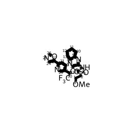 COCCS(=O)(=O)Nc1nc2ccccc2nc1O[C@H](c1ccc(-c2cnco2)nc1)C(F)(F)F